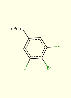 CCCCCc1cc(F)c(Br)c(F)c1